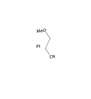 COCCC#N.[Pt]